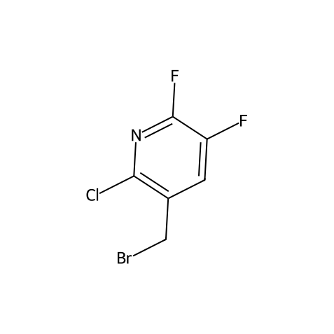 Fc1cc(CBr)c(Cl)nc1F